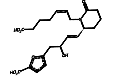 O=C(O)CCC/C=C\CN1C(=O)CCC[C@@H]1/C=C/C(O)Cc1ccc(C(=O)O)o1